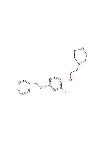 Cc1cc(OCc2ccccc2)ccc1OCCN1CCOCC1